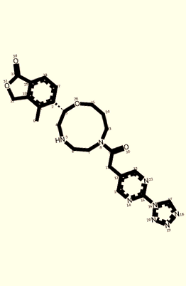 Cc1c([C@H]2CNCCN(C(=O)Cc3cnc(-n4cnnn4)nc3)CCCO2)ccc2c1COC2=O